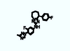 Cc1ncn(-c2ccc(Nc3nc4n(n3)CCCC[C@H]4c3ccc(F)cc3)cc2F)n1